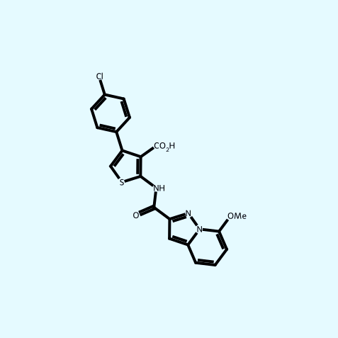 COc1cccc2cc(C(=O)Nc3scc(-c4ccc(Cl)cc4)c3C(=O)O)nn12